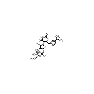 CCP(=O)(O)OC(C)(C)C[C@H]1O[C@@H](c2c(Cn3cc(C(C)C)nn3)[nH]c(=O)[nH]c2=O)[C@@H](O)C1O